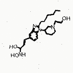 CCCCCCc1nc2cc(/C=C/C(O)NO)ccc2n1C1CCCN(CCO)C1